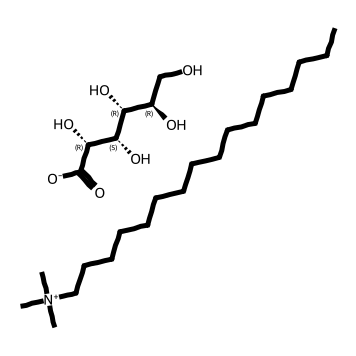 CCCCCCCCCCCCCCCC[N+](C)(C)C.O=C([O-])[C@H](O)[C@@H](O)[C@H](O)[C@H](O)CO